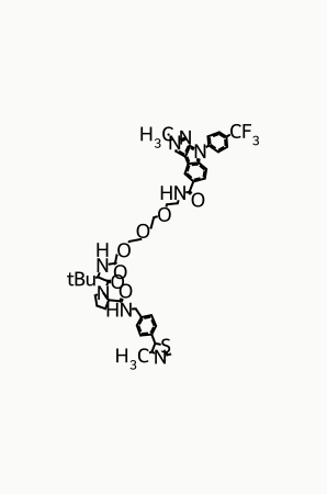 CC1N=CSC1c1ccc(CNC(=O)C2CCCN2C(=O)C(NC(=O)COCCOCCOCCNC(=O)c2ccc3c(c2)c2cn(C)nc2n3-c2ccc(C(F)(F)F)cc2)C(C)(C)C)cc1